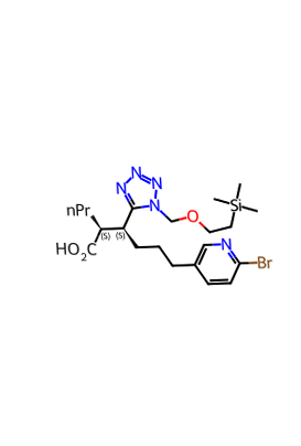 CCC[C@H](C(=O)O)[C@H](CCCc1ccc(Br)nc1)c1nnnn1COCC[Si](C)(C)C